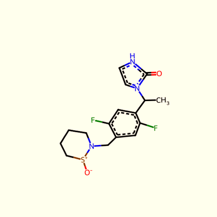 CC(c1cc(F)c(CN2CCCC[S+]2[O-])cc1F)n1cc[nH]c1=O